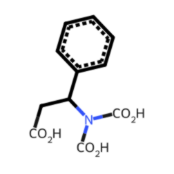 O=C(O)CC(c1ccccc1)N(C(=O)O)C(=O)O